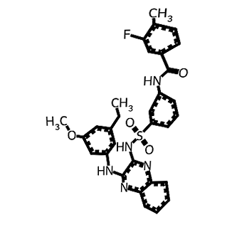 CCc1cc(Nc2nc3ccccc3nc2NS(=O)(=O)c2cccc(NC(=O)c3ccc(C)c(F)c3)c2)cc(OC)c1